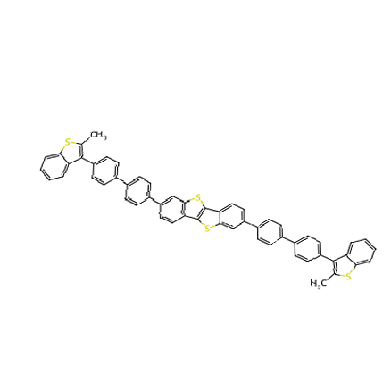 Cc1sc2ccccc2c1-c1ccc(-c2ccc(-c3ccc4c(c3)sc3c5ccc(-c6ccc(-c7ccc(-c8c(C)sc9ccccc89)cc7)cc6)cc5sc43)cc2)cc1